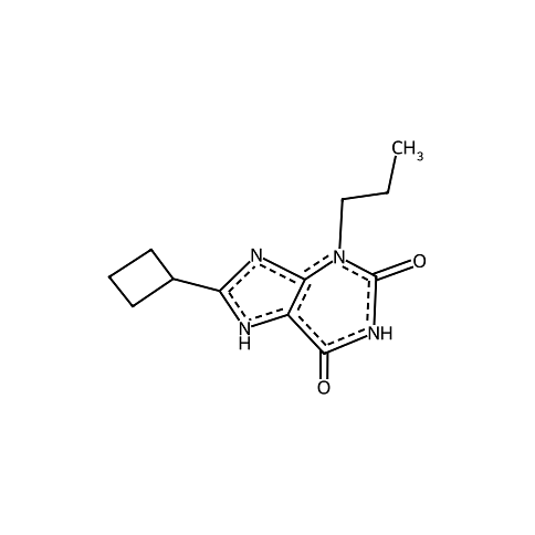 CCCn1c(=O)[nH]c(=O)c2[nH]c(C3CCC3)nc21